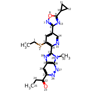 CCSc1cc(-c2noc(C3CC3)n2)cnc1-c1nc2cc(C(=O)CC)nnc2n1C